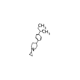 CCC(C)c1ccc(C2CCN(C3CC3)CC2)cc1